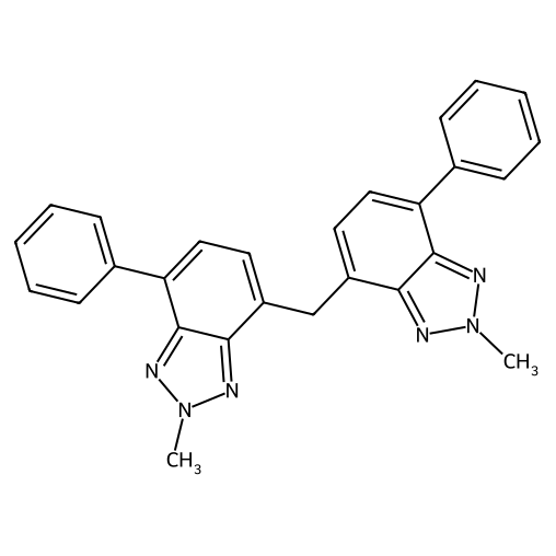 Cn1nc2c(Cc3ccc(-c4ccccc4)c4nn(C)nc34)ccc(-c3ccccc3)c2n1